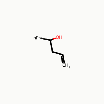 C=C[CH]C(O)CCC